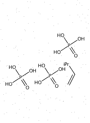 C=CC(C)C.O=P(O)(O)O.O=P(O)(O)O.O=P(O)(O)O